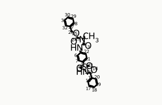 CN(C(=O)Nc1ccc(S(=O)(=O)NC(=O)c2ccccc2)cc1)C(=O)OCc1ccccc1